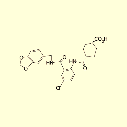 O=C(NCc1ccc2c(c1)OCO2)c1cc(Cl)ccc1NC(=O)[C@H]1CC[C@H](C(=O)O)CC1